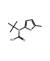 Cc1ccc(N(C(=O)O)C(C)(C)C)s1